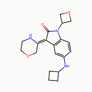 O=C1/C(=C2/COCCN2)c2cc(NC3CCC3)ccc2N1C1COC1